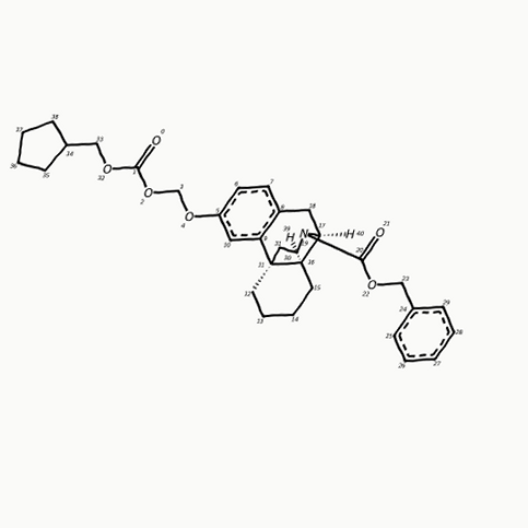 O=C(OCOc1ccc2c(c1)[C@]13CCCC[C@@H]1[C@H](C2)N(C(=O)OCc1ccccc1)CC3)OCC1CCCC1